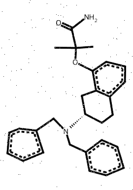 CC(C)(Oc1cccc2c1C[C@@H](N(Cc1ccccc1)Cc1ccccc1)CC2)C(N)=O